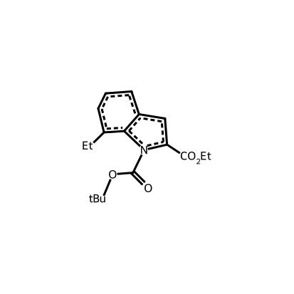 CCOC(=O)c1cc2cccc(CC)c2n1C(=O)OC(C)(C)C